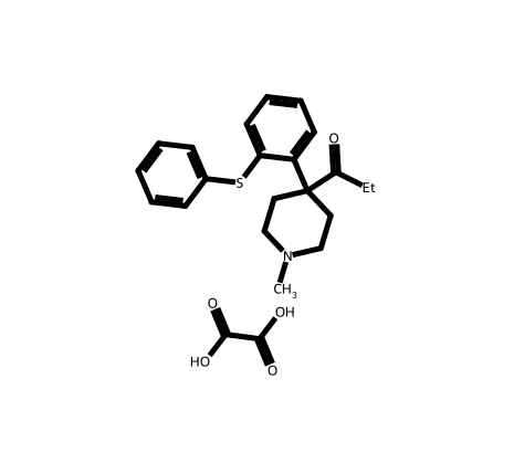 CCC(=O)C1(c2ccccc2Sc2ccccc2)CCN(C)CC1.O=C(O)C(=O)O